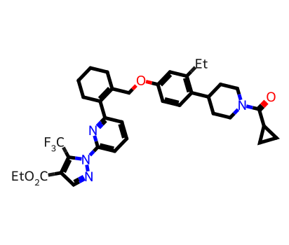 CCOC(=O)c1cnn(-c2cccc(C3=C(COc4ccc(C5CCN(C(=O)C6CC6)CC5)c(CC)c4)CCCC3)n2)c1C(F)(F)F